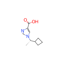 C[C@@H](C1CCC1)n1cnc(C(=O)O)c1